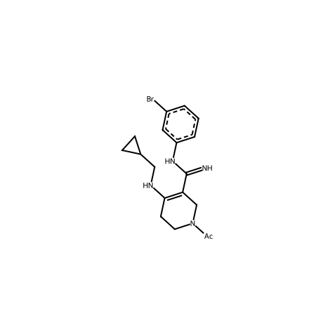 CC(=O)N1CCC(NCC2CC2)=C(C(=N)Nc2cccc(Br)c2)C1